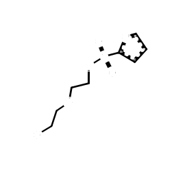 O=S(=O)(OCCOCCO)c1ccco1